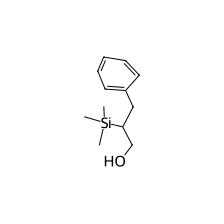 C[Si](C)(C)C(CO)Cc1ccccc1